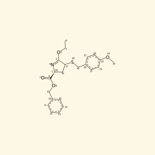 CCOC1=N[C@H](C(=O)OCc2ccccc2)CC1SCc1ccc(OC)cc1